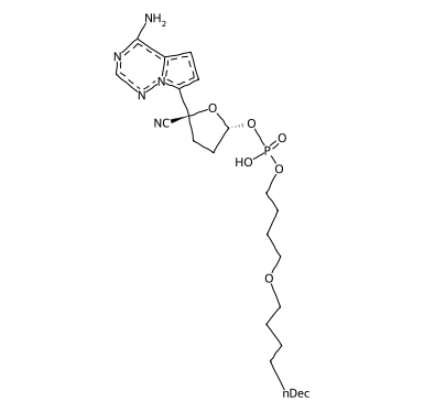 CCCCCCCCCCCCCCOCCCCOP(=O)(O)O[C@@H]1CC[C@](C#N)(c2ccc3c(N)ncnn23)O1